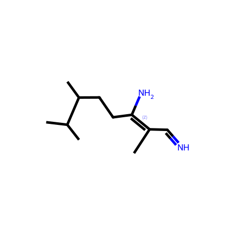 C/C(C=N)=C(/N)CCC(C)C(C)C